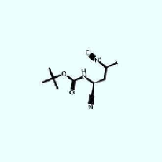 [C-]#[N+][C@@H](C)C[C@@H](C#N)NC(=O)OC(C)(C)C